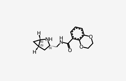 O=C(NC[C@@H]1C[C@@H]2C[C@@H]2N1)c1cccc2c1OCCO2